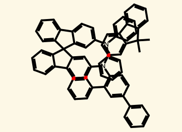 CC1(C)c2ccccc2-c2ccc(N(c3ccc4c(c3)C3(c5ccccc5-c5ccc(N(c6ccccc6)c6ccccc6)cc53)c3ccccc3-4)c3ccc(-c4ccccc4)cc3-c3ccccc3)cc21